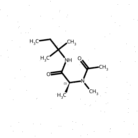 CCC(C)(C)NC(=O)[C@H](C)N(C)C(C)=O